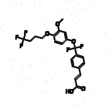 COc1cc(OC(F)(F)c2ccc(C=CC(=O)O)cc2)ccc1OCCCC(F)(F)F